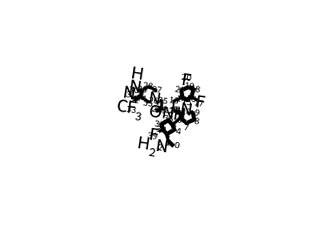 C=C(N)c1cc(-c2cccnc2[C@H](Cc2cc(F)cc(F)c2)NC(=O)CN2CCc3[nH]nc(C(F)(F)F)c3C2)ccc1F